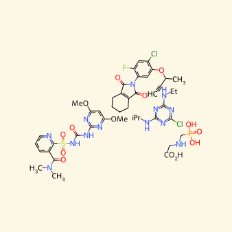 C#CC(C)Oc1cc(N2C(=O)C3=C(CCCC3)C2=O)c(F)cc1Cl.CCNc1nc(Cl)nc(NC(C)C)n1.COc1cc(OC)nc(NC(=O)NS(=O)(=O)c2ncccc2C(=O)N(C)C)n1.O=C(O)CNCP(=O)(O)O